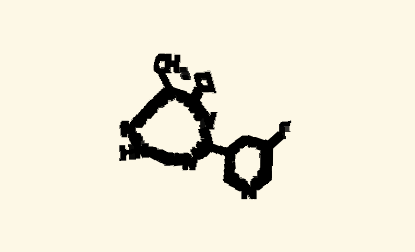 Cc1cn[nH]cnc(-c2cncc(F)c2)nc1Cl